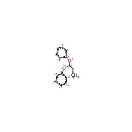 C=C[C](Oc1ccccc1)Oc1ccccc1